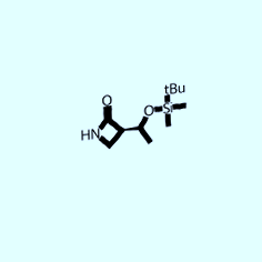 CC(O[Si](C)(C)C(C)(C)C)[C@H]1CNC1=O